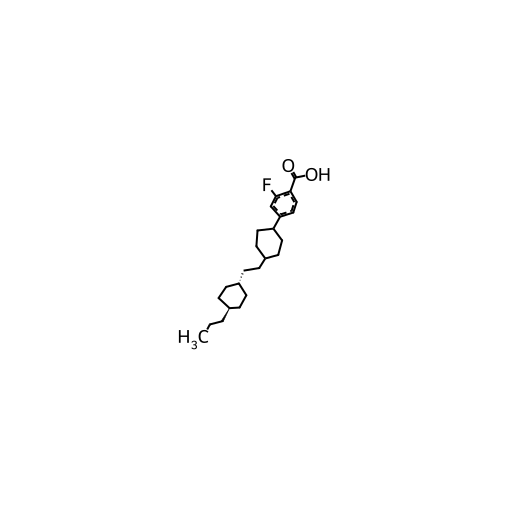 CCC[C@H]1CC[C@H](CCC2CCC(c3ccc(C(=O)O)c(F)c3)CC2)CC1